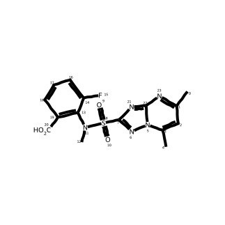 Cc1cc(C)n2nc(S(=O)(=O)N(C)c3c(F)cccc3C(=O)O)nc2n1